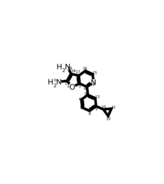 Nc1oc2c(-c3cccc(C4CC4)c3)nccc2c1N